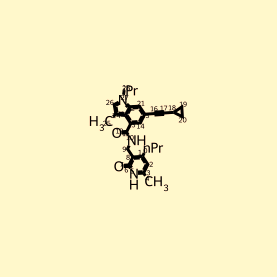 CCCc1cc(C)[nH]c(=O)c1CNC(=O)c1cc(C#CC2CC2)cc2c1c(C)cn2C(C)C